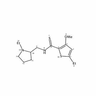 CCc1cc(OC)c(C(=S)NCC2CCCN2CC)s1